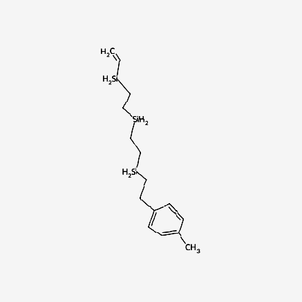 C=C[SiH2]CC[SiH2]CC[SiH2]CCc1ccc(C)cc1